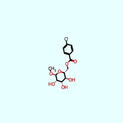 CO[C@H]1O[C@H](COC(=O)c2ccc(Cl)cc2)[C@@H](O)[C@H](O)[C@@H]1O